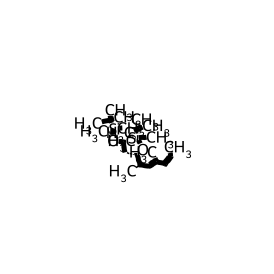 C/C=C\C(C)=C\[C@H](C)[C@H](CCO[Si](C)(C)C(C)(C)C)O[Si](C)(C)C(C)(C)C